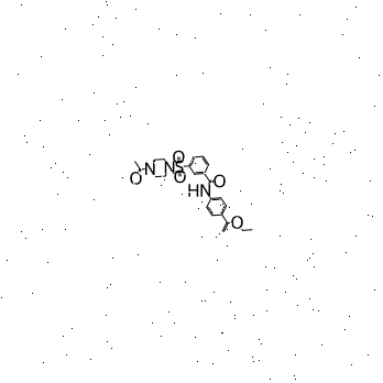 C=C(OCC)c1ccc(NC(=O)c2cccc(S(=O)(=O)N3CCN(C(C)=O)CC3)c2)cc1